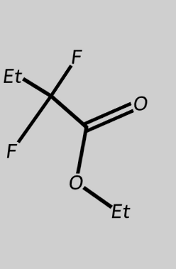 CCOC(=O)C(F)(F)CC